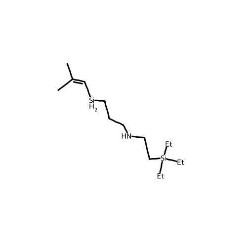 CC[Si](CC)(CC)CCNCCC[SiH2]C=C(C)C